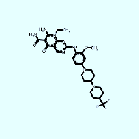 CCn1c(N)c(C(N)=O)c(=O)c2cnc(Nc3ccc(N4CCC(N5CCC(C(F)(F)F)CC5)CC4)cc3OC)nc21